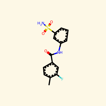 Cc1ccc(C(=O)Nc2cccc(S(N)(=O)=O)c2)cc1F